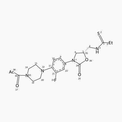 CCC(=S)NC[C@H]1CN(c2ccc(N3CCN(C(=O)C(C)=O)CC3)c(F)c2)C(=O)O1